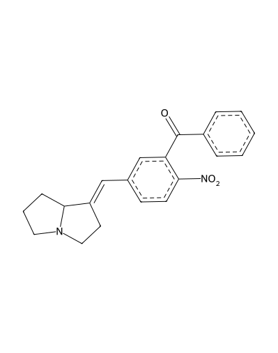 O=C(c1ccccc1)c1cc(C=C2CCN3CCCC23)ccc1[N+](=O)[O-]